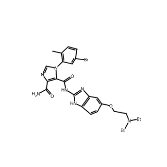 CCN(CC)CCOc1ccc2[nH]c(NC(=O)c3c(C(N)=O)ncn3-c3cc(Br)ccc3C)nc2c1